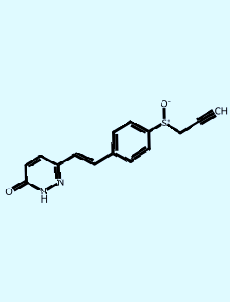 C#CC[S+]([O-])c1ccc(/C=C/c2ccc(=O)[nH]n2)cc1